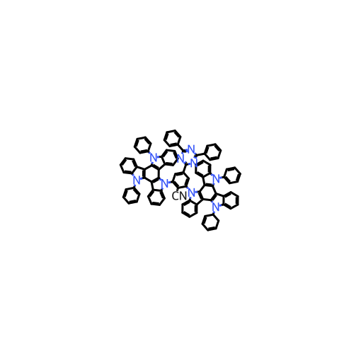 N#Cc1c(-n2c3ccccc3c3c4c(c5ccccc5n4-c4ccccc4)c4c(c5ccccc5n4-c4ccccc4)c32)cc(-c2nc(-c3ccccc3)nc(-c3ccccc3)n2)cc1-n1c2ccccc2c2c1c1c3ccccc3n(-c3ccccc3)c1c1c3ccccc3n(C3C=CC=CC3)c12